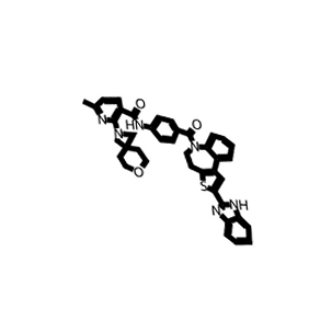 Cc1ccc(C(=O)Nc2ccc(C(=O)N3CCc4sc(-c5nc6ccccc6[nH]5)cc4-c4ccccc43)cc2)c(N2CC3(CCOCC3)C2)n1